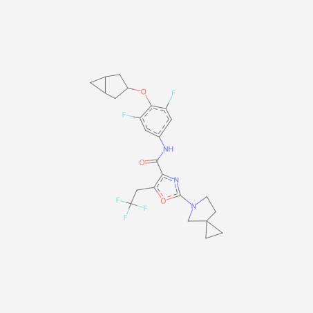 O=C(Nc1cc(F)c(OC2CC3CC3C2)c(F)c1)c1nc(N2CCC3(CC3)C2)oc1CC(F)(F)F